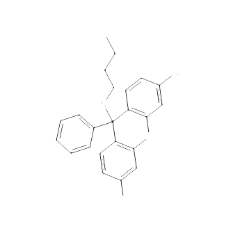 CCCCNC1(c2ccccc2)c2ccc(S)cc2Sc2cc(S)ccc21